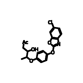 CC(=O)CC(O)C(C)Oc1ccc(Oc2nc3ccc(Cl)cc3o2)cc1